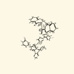 CC1c2ccccc2-c2nc(-c3ccccc3)nc(-c3ccc(-n4c5ccccc5c5c6c7ccccc7n7c8cc9ccccc9cc8c(cc54)c67)cc3)c21